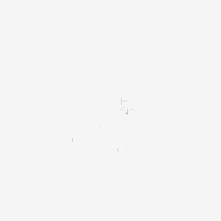 CCCC(OC)(OC)[SiH2]C